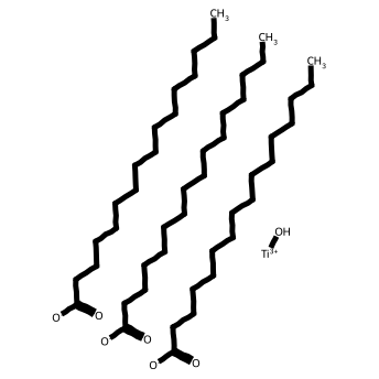 CCCCCCCCCCCCCCCC(=O)[O-].CCCCCCCCCCCCCCCC(=O)[O-].CCCCCCCCCCCCCCCC(=O)[O-].[OH][Ti+3]